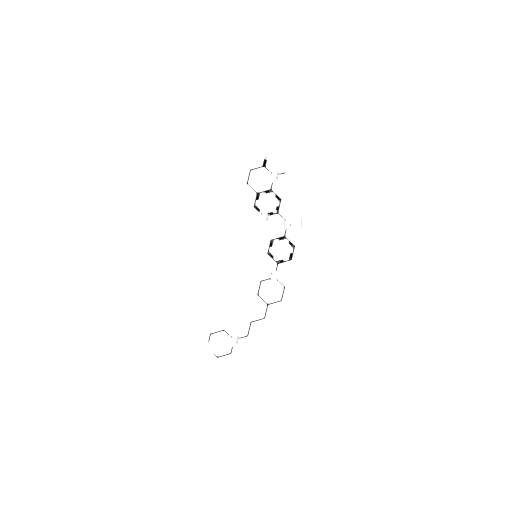 CCN1C(=O)CCc2cnc(Nc3ccc(N4CCC(CCCN5CCOCC5)CC4)cc3)cc21